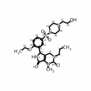 CCCN1CC2=C(C(=O)NC2c2cc(S(=O)(=O)N3CCN(CCO)CC3)ccc2OCC)N(C)C1Cl